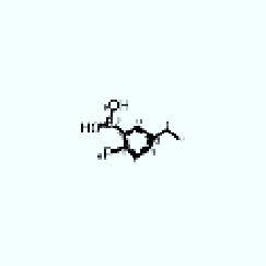 CCc1ccc(F)c(B(O)O)c1